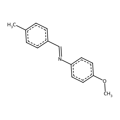 COc1ccc(N=Cc2ccc(C)cc2)cc1